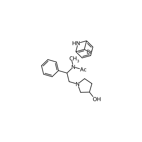 Brc1c2cccc1N2.CC(=O)N(C)C(CN1CCC(O)C1)c1ccccc1